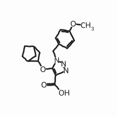 COc1ccc(Cn2nnc(C(=O)O)c2OC2CC3CCC2C3)cc1